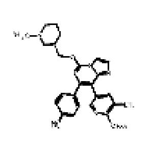 COc1ncc(-c2c(-c3ccc(C#N)cc3)nc(OC[C@@H]3CCCN(C)C3)n3ccnc23)cc1C